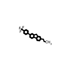 CCCc1ccc2c(c1)Cc1cc(-c3ccc(C(F)(F)F)cc3)ccc1-2